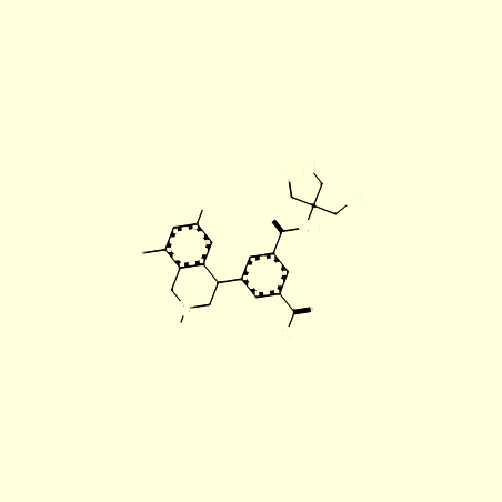 CN1Cc2c(Cl)cc(Cl)cc2C(c2cc(C(N)=O)cc(C(=O)NC(CO)(CO)CO)c2)C1